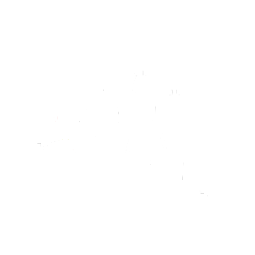 CCCc1ccc(-c2cccc(S(C)(=O)=O)c2)c(C(C)CC)c1